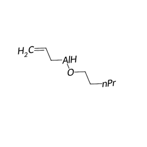 C=C[CH2][AlH][O]CCCCC